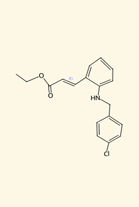 CCOC(=O)/C=C/c1ccccc1NCc1ccc(Cl)cc1